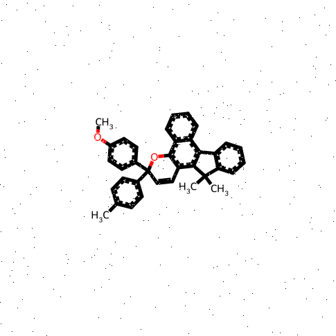 COc1ccc(C2(c3ccc(C)cc3)C=Cc3c4c(c5ccccc5c3O2)-c2ccccc2C4(C)C)cc1